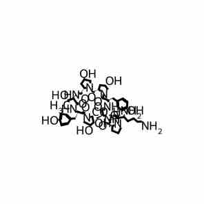 C[C@@H](O)[C@H](NC(=O)[C@@H]1C[C@@H](O)CN1C(=O)[C@@H]1C[C@@H](O)CN1C(=O)[C@H](Cc1ccc(O)cc1)NC(=O)[C@H](CO)NC(=O)[C@@H]1CCCN1C(=O)[C@@H](N)CCCCN)C(=O)N[C@@H](Cc1ccc(O)cc1)C(=O)N1C[C@H](O)C[C@H]1C(=O)O